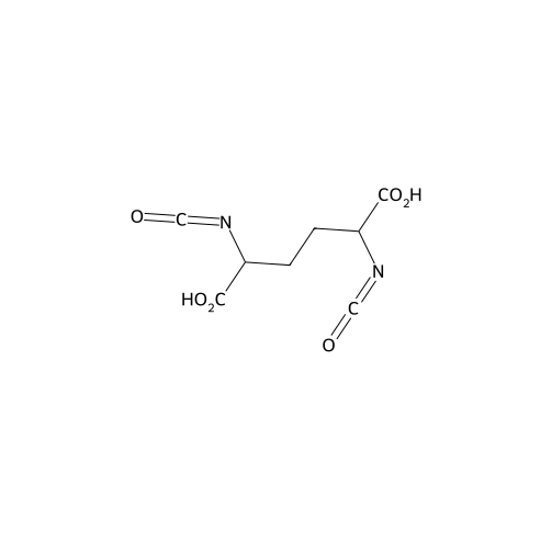 O=C=NC(CCC(N=C=O)C(=O)O)C(=O)O